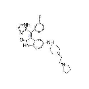 O=C1Nc2ccc(NC3CCN(CCN4CCCC4)CC3)cc2/C1=C(\c1cccc(F)c1)c1ncc[nH]1